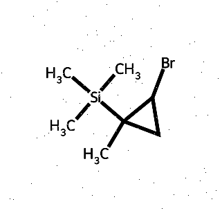 CC1([Si](C)(C)C)CC1Br